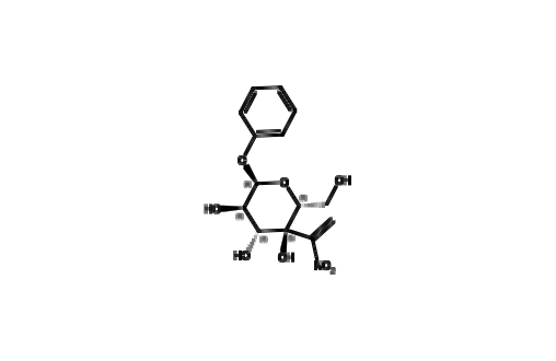 C=C([N+](=O)[O-])[C@]1(O)[C@H](O)[C@@H](O)[C@@H](Oc2ccccc2)O[C@@H]1CO